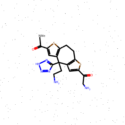 CNC(=O)c1cc2c(s1)CCc1sc(C(=O)CN)cc1C2(CCN)c1nn[nH]n1